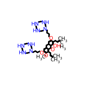 COc1c(OCCCCN2CCNCCNCCNCC2)cc2c(c1CC=C(C)C)C(=O)C1C(O)=C(CC=C(C)C)C(OCCCCN3CCNCCNCCNCC3)=CC1C2